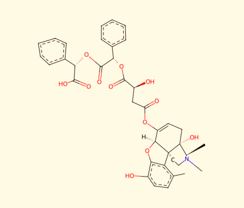 Cc1ccc(O)c2c1[C@]13CCN(C)[C@H](C)[C@]1(O)CC=C(OC(=O)C[C@H](O)C(=O)O[C@H](C(=O)O[C@H](C(=O)O)c1ccccc1)c1ccccc1)[C@@H]3O2